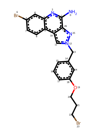 Nc1nc2cc(Br)ccc2c2cn(Cc3cccc(OCCCBr)c3)nc12